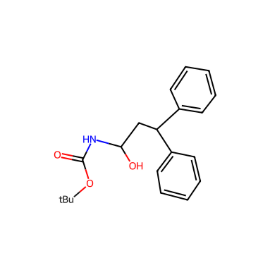 CC(C)(C)OC(=O)NC(O)CC(c1ccccc1)c1ccccc1